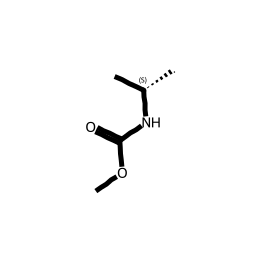 [CH2][C@@H](C)NC(=O)OC